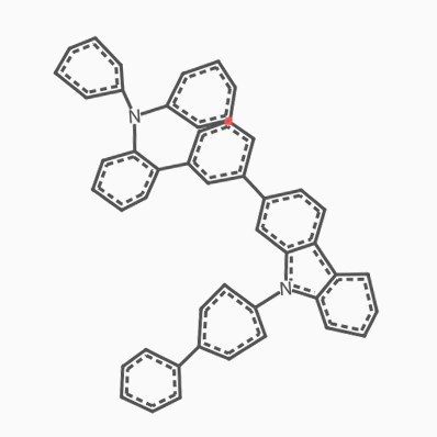 c1ccc(-c2ccc(-n3c4ccccc4c4ccc(-c5cccc(-c6ccccc6N(c6ccccc6)c6ccccc6)c5)cc43)cc2)cc1